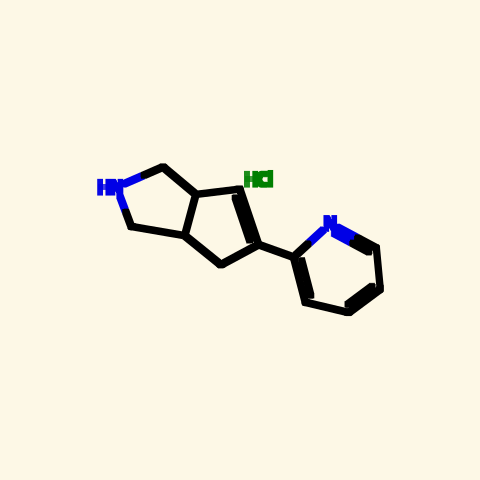 C1=C(c2ccccn2)CC2CNCC12.Cl